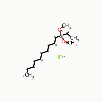 CCCCCCCCCC[Si](CC)(OC)OC.F